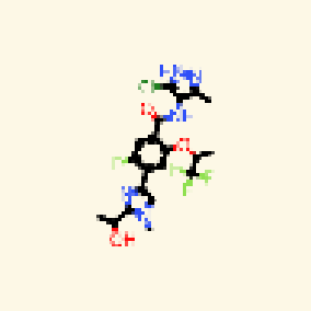 Cc1n[nH]c(Cl)c1NC(=O)c1cc(F)c(-c2cn(C)c(C(C)O)n2)cc1OC(C)C(F)(F)F